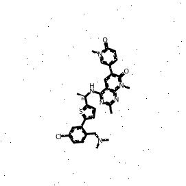 Cc1nc(N[C@H](C)c2ccc(-c3cc(Cl)ccc3CN(C)C)s2)c2cc(-c3ccc(=O)n(C)c3)c(=O)n(C)c2n1